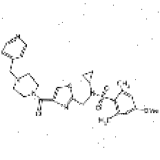 COc1cc(C)c(S(=O)(=O)N(Cc2nc(C(=O)N3CCN(Cc4ccncc4)CC3)co2)C2CC2)c(C)c1